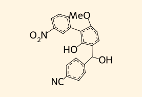 COc1ccc(C(O)c2ccc(C#N)cc2)c(O)c1-c1cccc([N+](=O)[O-])c1